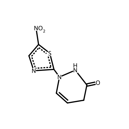 O=C1CC=CN(c2ncc([N+](=O)[O-])s2)N1